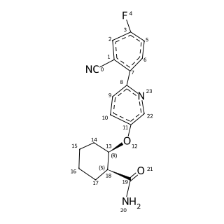 N#Cc1cc(F)ccc1-c1ccc(O[C@@H]2CCCC[C@@H]2C(N)=O)cn1